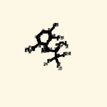 C=C(Nc1c(N)ccc(F)c1F)C(F)(F)F